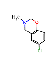 CN1COc2ccc(Cl)cc2C1